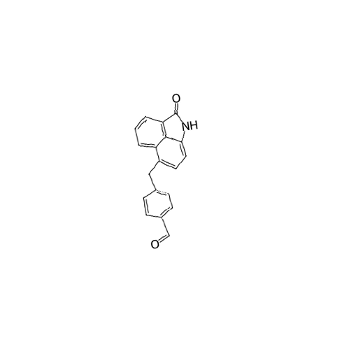 O=Cc1ccc(Cc2ccc3c4c(cccc24)C(=O)N3)cc1